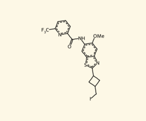 COc1cc2nc(C3CC(CI)C3)sc2cc1NC(=O)c1cccc(C(F)(F)F)n1